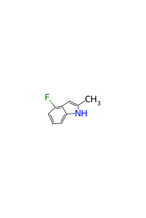 Cc1cc2c(F)cccc2[nH]1